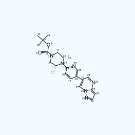 C[C@@H]1CN(C(=O)OC(C)(C)C)C[C@H](C)N1c1ccc(-c2cnc3ccnn3c2)cn1